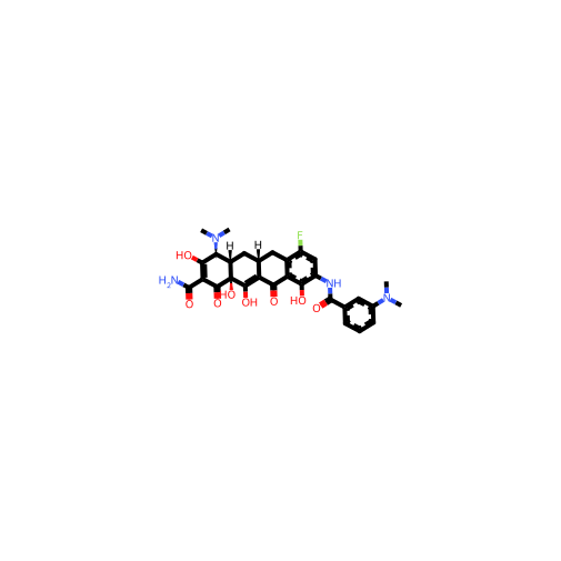 CN(C)c1cccc(C(=O)Nc2cc(F)c3c(c2O)C(=O)C2=C(O)[C@]4(O)C(=O)C(C(N)=O)=C(O)[C@@H](N(C)C)[C@@H]4C[C@@H]2C3)c1